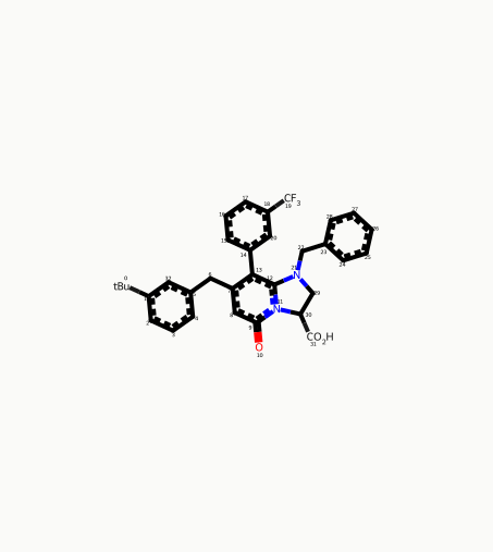 CC(C)(C)c1cccc(Cc2cc(=O)n3c(c2-c2cccc(C(F)(F)F)c2)N(Cc2ccccc2)CC3C(=O)O)c1